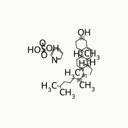 CC(C)CCC[C@@H](C)[C@H]1CC[C@H]2[C@@H]3CC=C4C[C@@H](O)CC[C@]4(C)[C@H]3CC[C@]12C.O=S(=O)(O)O.c1ccncc1